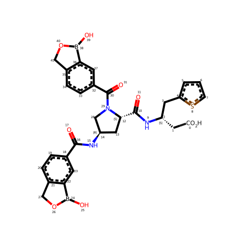 O=C(O)C[C@@H](Cc1cccs1)NC(=O)[C@@H]1C[C@@H](NC(=O)c2ccc3c(c2)B(O)OC3)CN1C(=O)c1ccc2c(c1)B(O)OC2